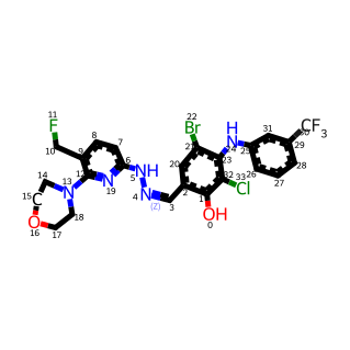 Oc1c(/C=N\Nc2ccc(CF)c(N3CCOCC3)n2)cc(Br)c(Nc2cccc(C(F)(F)F)c2)c1Cl